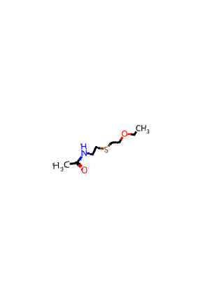 CCOCCSCCNC(C)=O